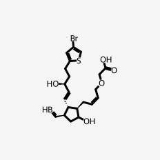 B=C[C@@H]1CC(O)[C@H](C/C=C\COCC(=O)O)[C@H]1/C=C/[C@@H](O)CCc1cc(Br)cs1